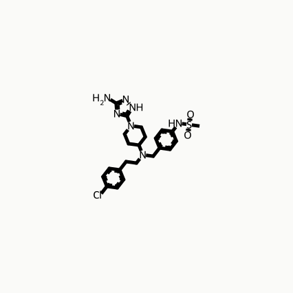 CS(=O)(=O)Nc1ccc(CN(CCc2ccc(Cl)cc2)C2CCN(c3nc(N)n[nH]3)CC2)cc1